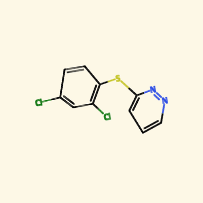 Clc1ccc(Sc2cccnn2)c(Cl)c1